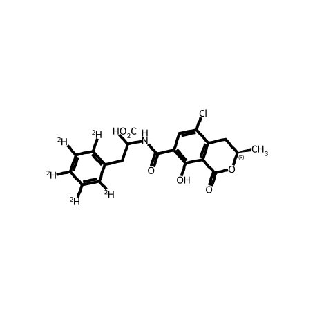 [2H]c1c([2H])c([2H])c(CC(NC(=O)c2cc(Cl)c3c(c2O)C(=O)O[C@H](C)C3)C(=O)O)c([2H])c1[2H]